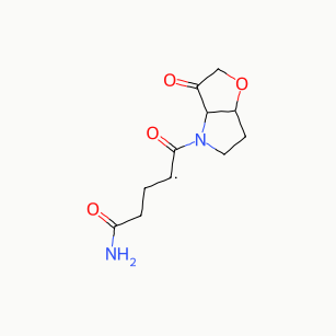 NC(=O)CC[CH]C(=O)N1CCC2OCC(=O)C21